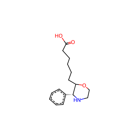 O=C(O)CCCCCC1OCCN[C@@H]1c1ccccc1